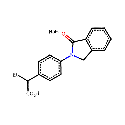 CCC(C(=O)O)c1ccc(N2Cc3ccccc3C2=O)cc1.[NaH]